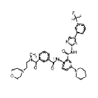 CN(CCN1CCOCC1)C(=O)c1cccc(C(=O)Nc2ccc(N3CCCCC3)cc2C(=O)Nc2ncn(-c3cccc(C(F)(F)F)c3)n2)c1